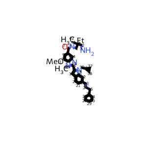 CC[C@@]1(CN)CN(C(=O)c2cc(OC)c3c(c2)nc(-c2cc4ccc(/C=C/Cc5ccccc5)cc4n2CC2CC2)n3C)C1C